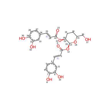 O=C(/C=C/c1ccc(O)c(O)c1)O[C@@H]1OC(CO)CC[C@@H]1OC(=O)/C=C/c1ccc(O)c(O)c1